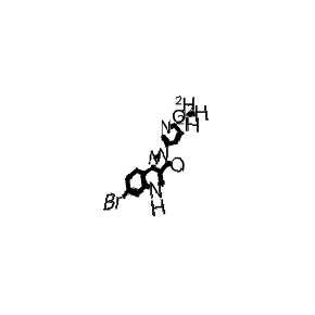 [2H]C([2H])([2H])Oc1ccc(-n2nc3c4ccc(Br)cc4[nH]cc-3c2=O)cn1